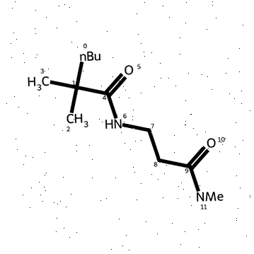 CCCCC(C)(C)C(=O)NCCC(=O)NC